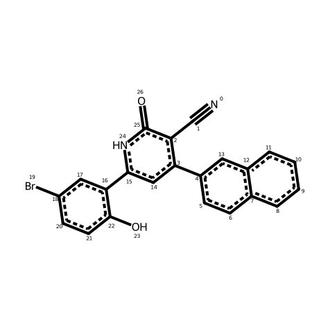 N#Cc1c(-c2ccc3ccccc3c2)cc(-c2cc(Br)ccc2O)[nH]c1=O